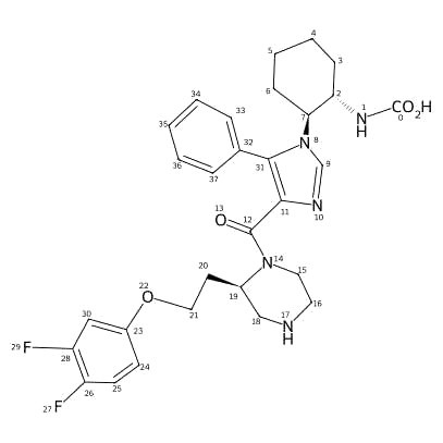 O=C(O)N[C@H]1CCCC[C@@H]1n1cnc(C(=O)N2CCNC[C@H]2CCOc2ccc(F)c(F)c2)c1-c1ccccc1